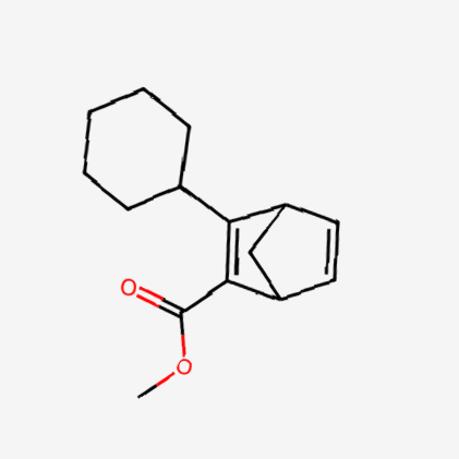 COC(=O)C1=C(C2CCCCC2)C2C=CC1C2